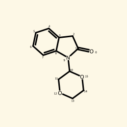 O=C1Cc2ccccc2N1C1COCCO1